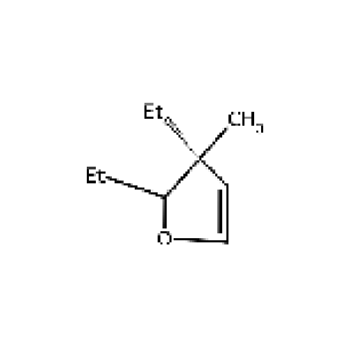 CCC1OC=C[C@@]1(C)CC